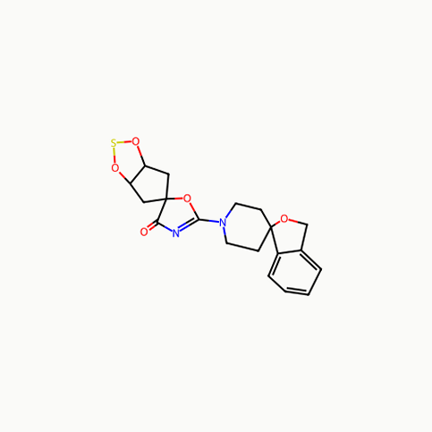 O=C1N=C(N2CCC3(CC2)OCc2ccccc23)OC12CC1OSOC1C2